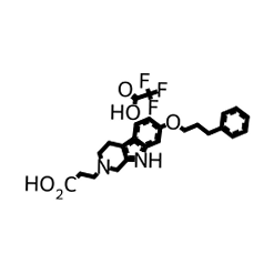 O=C(O)C(F)(F)F.O=C(O)CCN1CCc2c([nH]c3cc(OCCCc4ccccc4)ccc23)C1